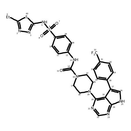 CCc1nnc(NS(=O)(=O)c2ccc(NC(=O)N3CCN(c4ncnc5[nH]cc(-c6ccc(C(F)(F)F)cc6)c45)CC3)cc2)s1